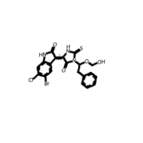 O=C1Nc2cc(Cl)c(Br)cc2/C1=C1/NC(=S)N(C(Cc2ccccc2)OCO)C1=O